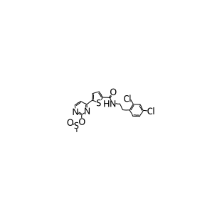 CS(=O)Oc1nccc(-c2ccc(C(=O)NCCc3ccc(Cl)cc3Cl)s2)n1